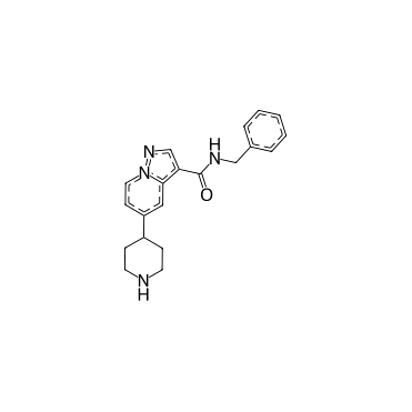 O=C(NCc1ccccc1)c1cnn2ccc(C3CCNCC3)cc12